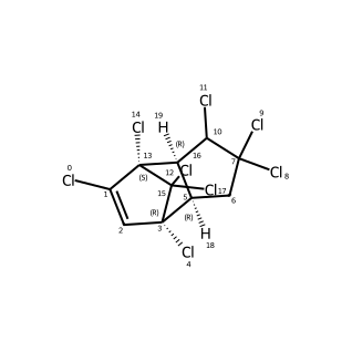 ClC1=C[C@]2(Cl)[C@@H]3CC(Cl)(Cl)C(Cl)[C@@H]3[C@@]1(Cl)C2(Cl)Cl